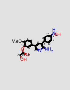 COc1ccc(-c2cnc(N)c(-c3ccc(NO)cc3)c2)cc1OC(=O)CO